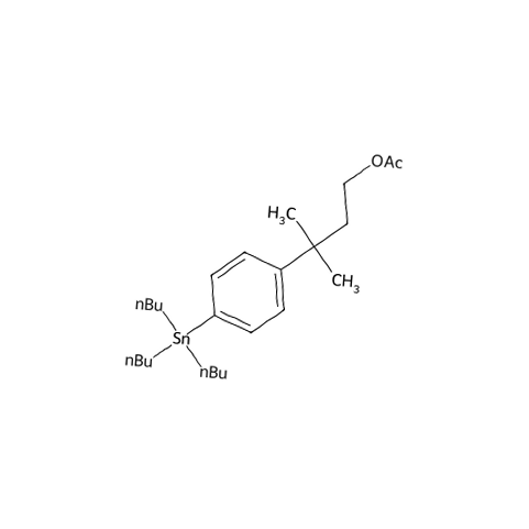 CCC[CH2][Sn]([CH2]CCC)([CH2]CCC)[c]1ccc(C(C)(C)CCOC(C)=O)cc1